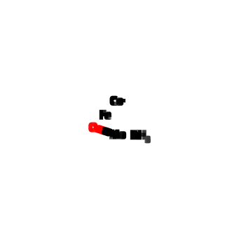 [BiH3].[Co].[Fe].[O]=[Mo]